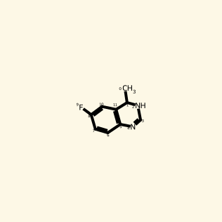 CC1NC=Nc2ccc(F)cc21